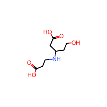 O=C(O)CCNC(CCO)CC(=O)O